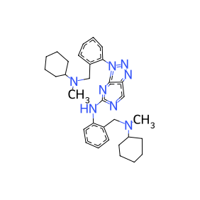 CN(Cc1ccccc1Nc1ncc2nnn(-c3ccccc3CN(C)C3CCCCC3)c2n1)C1CCCCC1